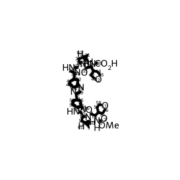 COC(=O)N[C@H](C(=O)N1[C@@H]2C[C@H]2C[C@H]1c1nc2cc(-c3cnc4cc(-c5c[nH]c([C@@H]6C[C@H]7C[C@H]7N6C(=O)[C@@H](NC(=O)O)C6CCOCC6)n5)ccc4n3)ccc2[nH]1)C1CCOCC1